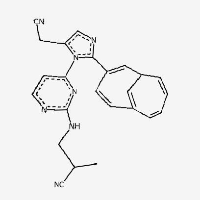 CC(C#N)CNc1nccc(-n2c(CC#N)cnc2C2=CC3C=CC=CC(=C3)C=C2)n1